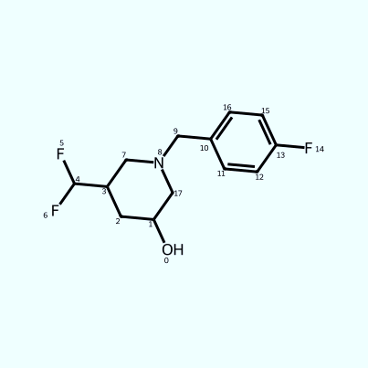 OC1CC(C(F)F)CN(Cc2ccc(F)cc2)C1